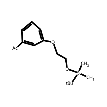 CC(=O)c1cccc(OCCO[Si](C)(C)C(C)(C)C)c1